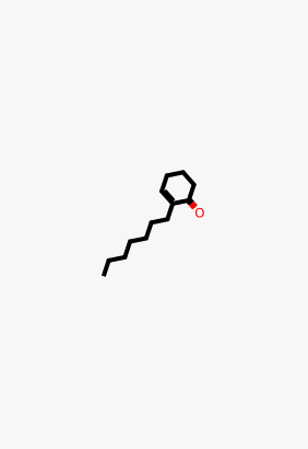 CCCCCCCC1=CCCCC1=O